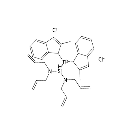 C=CCN(CC=C)[SiH](N(CC=C)CC=C)[Ti+2]([CH]1C(C)=Cc2ccccc21)[CH]1C(C)=Cc2ccccc21.[Cl-].[Cl-]